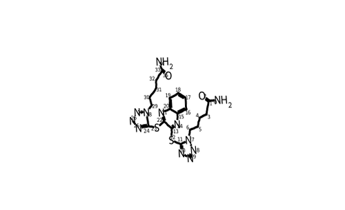 NC(=O)CCCCn1nnnc1Sc1nc2ccccc2nc1Sc1nnnn1CCCCC(N)=O